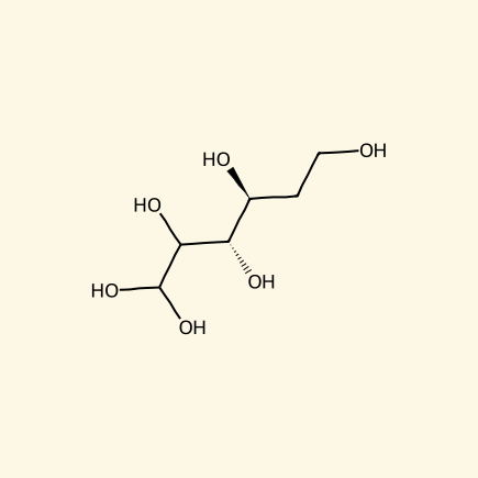 OCC[C@H](O)[C@H](O)C(O)C(O)O